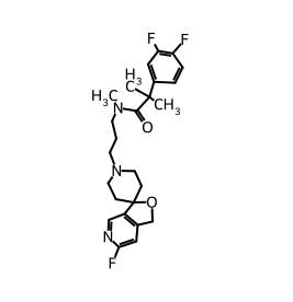 CN(CCCN1CCC2(CC1)OCc1cc(F)ncc12)C(=O)C(C)(C)c1ccc(F)c(F)c1